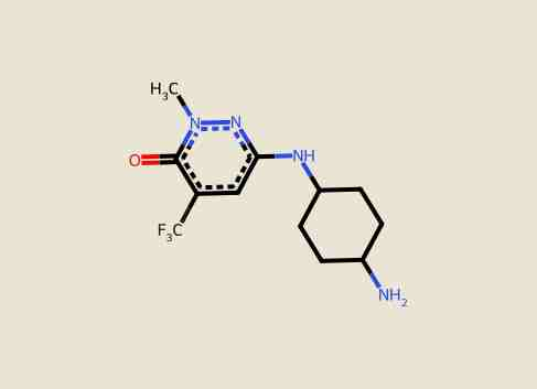 Cn1nc(NC2CCC(N)CC2)cc(C(F)(F)F)c1=O